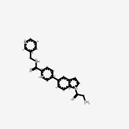 CCC(=O)n1ccc2cc(-c3ccc(C(=O)NCc4cccnc4)nc3)ccc21